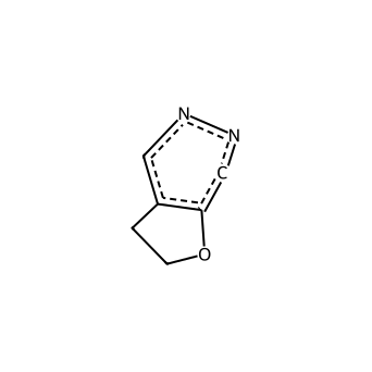 c1nncc2c1CCO2